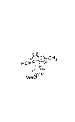 COc1ccc(C2=NC(C)Cc3ccccc32)cc1.Cl